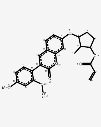 C=CC(=O)OC1CCC(Oc2ccc3cc(-c4ccc(OC)cc4OC(F)(F)F)c(=O)oc3c2)C1C